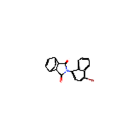 O=C1C2C3C=CC(CC3)C2C(=O)N1c1ccc(Br)c2ccccc12